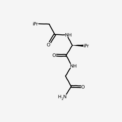 CC(C)CC(=O)N[C@H](C(=O)NCC(N)=O)C(C)C